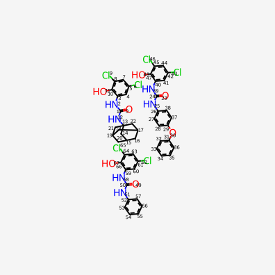 O=C(Nc1cc(Cl)cc(Cl)c1O)NC12CC3CC(CC(C3)C1)C2.O=C(Nc1ccc(Oc2ccccc2)cc1)Nc1cc(Cl)cc(Cl)c1O.O=C(Nc1ccccc1)Nc1cc(Cl)cc(Cl)c1O